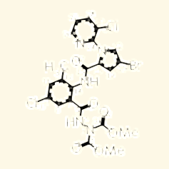 COC(=O)N(NC(=O)c1cc(Cl)cc(C)c1NC(=O)c1cc(Br)cn1-c1ncccc1Cl)C(=O)OC